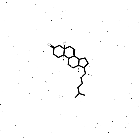 CC(C)CCC[C@@H](C)C1CCC2C3=CC[C@H]4CC(=O)CC[C@]4(C)C3CC[C@@]21C